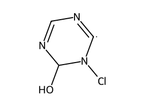 OC1N=CN=[C]N1Cl